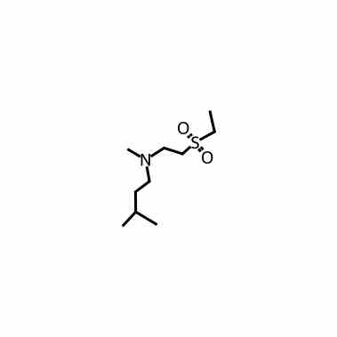 CCS(=O)(=O)CCN(C)CCC(C)C